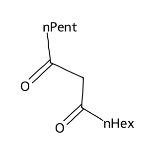 [CH2]CCCCCC(=O)CC(=O)CCCC[CH2]